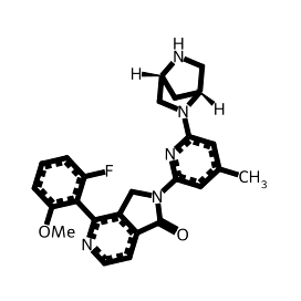 COc1cccc(F)c1-c1nccc2c1CN(c1cc(C)cc(N3C[C@H]4C[C@@H]3CN4)n1)C2=O